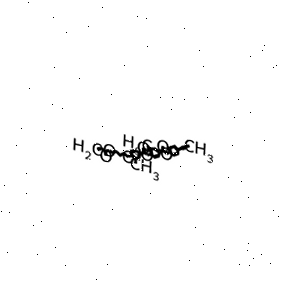 C=CC(=O)OCCCCOc1ccc(C(=O)Oc2ccc(C(=O)Oc3ccc(C#CC)cc3)cc2C)cc1C